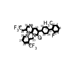 Cc1cccc(F)c1C1CCC(c2cc3ncc(CC(F)(F)F)nc3n(Cc3ncccc3C(F)(F)F)c2=O)CC1